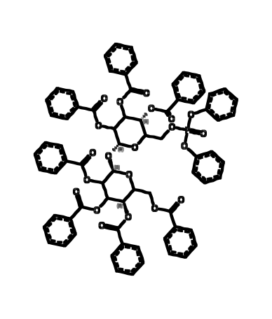 O=C(OCC1O[C@H](O[C@H]2OC(COP(=O)(Oc3ccccc3)Oc3ccccc3)[C@@H](OC(=O)c3ccccc3)C(OC(=O)c3ccccc3)C2OC(=O)c2ccccc2)C(OC(=O)c2ccccc2)C(OC(=O)c2ccccc2)[C@@H]1OC(=O)c1ccccc1)c1ccccc1